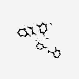 COc1cc(Nc2nc3ccccc3nc2NS(=O)(=O)c2cccc(NC(=O)c3ccccc3C)c2)cc(OC)c1